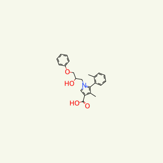 Cc1ccccc1-c1c(C)c(C(=O)O)cn1CC(O)COc1ccccc1